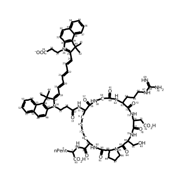 CCCCCC(NC(=O)C1CSSCC(NC(=O)CCN2/C(=C/C=C/C=C/C=C/C3=[N+](CCC(=O)[O-])c4ccc5ccccc5c4C3(C)C)C(C)(C)c3c2ccc2ccccc32)C(=O)NCC(=O)NC(CCCNC(=N)N)C(=O)NC(CC(=O)O)C(=O)NC(CO)C(=O)N2CCCC2C(=O)N1)C(=O)O